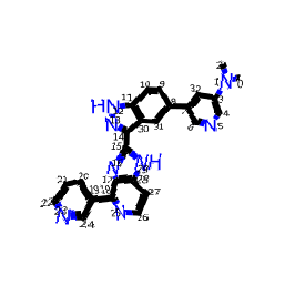 CN(C)c1cncc(-c2ccc3[nH]nc(-c4nc5c(-c6cccnc6)nccc5[nH]4)c3c2)c1